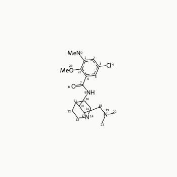 CNc1cc(Cl)cc(C(=O)NC2C3CCN(CC3)C2CN(C)C)c1OC